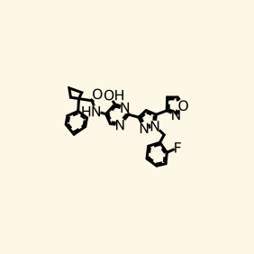 O=C(Nc1cnc(-c2cc(-c3ccon3)n(Cc3ccccc3F)n2)nc1O)C1(c2ccccc2)CCC1